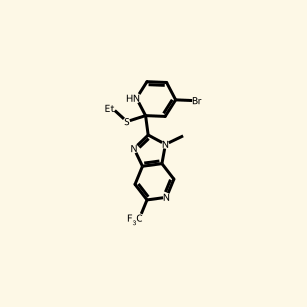 CCSC1(c2nc3cc(C(F)(F)F)ncc3n2C)C=C(Br)C=CN1